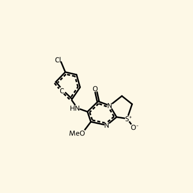 COc1nc2n(c(=O)c1Nc1ccc(Cl)cc1)CC[S+]2[O-]